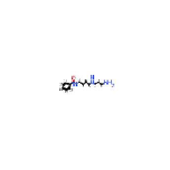 NCCCNCCCCNC(=O)c1ccccc1